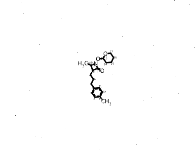 Cc1ccc(CCCC2C(=O)N(OC3CCCCO3)C2C)cc1